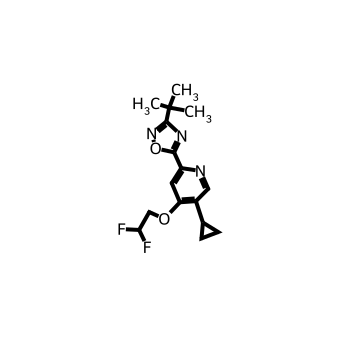 CC(C)(C)c1noc(-c2cc(OCC(F)F)c(C3CC3)cn2)n1